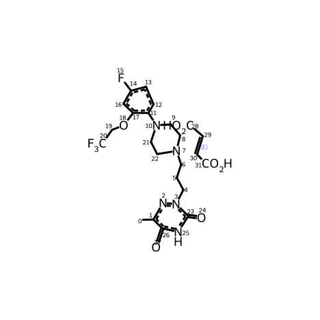 Cc1nn(CCCN2CCN(c3ccc(F)cc3OCC(F)(F)F)CC2)c(=O)[nH]c1=O.O=C(O)/C=C/C(=O)O